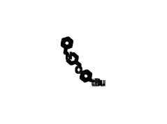 CC(C)(C)c1ccc(OCC2CCN(Cc3ccccc3)CC2)cc1